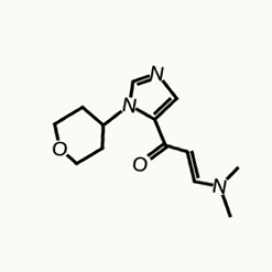 CN(C)C=CC(=O)c1cncn1C1CCOCC1